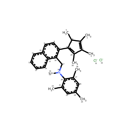 CC1=C(C)C(C)C(c2ccc3ccccc3c2C[N]([Ti+2])c2c(C)cc(C)cc2C)=C1C.[Cl-].[Cl-]